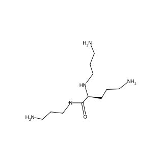 NCCC[N]C(=O)[C@H](CCCN)NCCCN